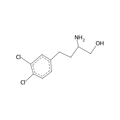 NC(CO)CCc1ccc(Cl)c(Cl)c1